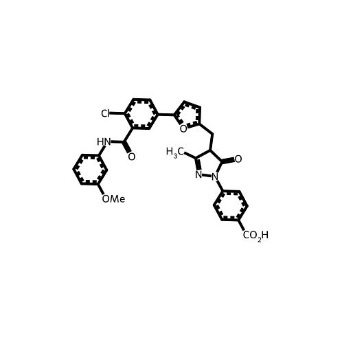 COc1cccc(NC(=O)c2cc(-c3ccc(CC4C(=O)N(c5ccc(C(=O)O)cc5)N=C4C)o3)ccc2Cl)c1